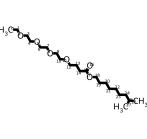 CCOCCOCCOCCOCCCC(=O)OCCCCCCCC(C)C